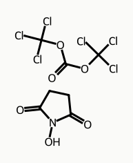 O=C(OC(Cl)(Cl)Cl)OC(Cl)(Cl)Cl.O=C1CCC(=O)N1O